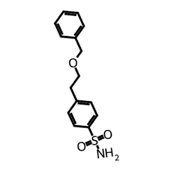 NS(=O)(=O)c1ccc(CCOCc2ccccc2)cc1